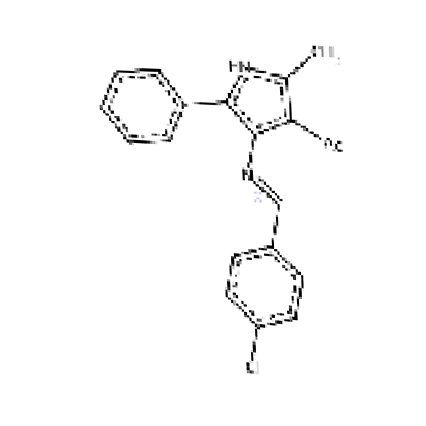 CC(=O)c1c(C)[nH]c(-c2ccccc2)c1/N=C/c1ccc(Cl)cc1